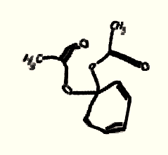 CC(=O)OC1(OC(C)=O)C=CC=CC1